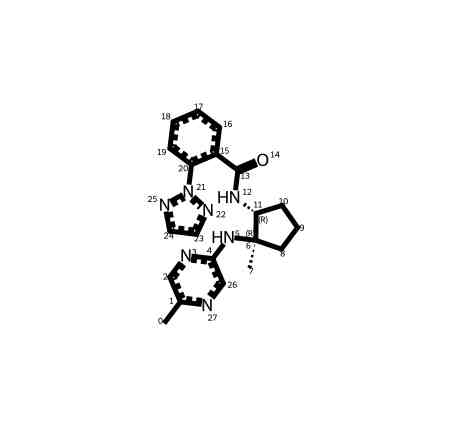 Cc1cnc(N[C@]2(C)CCC[C@H]2NC(=O)c2ccccc2-n2nccn2)cn1